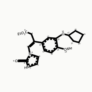 CCOC(=O)C/C(=C/n1cc[nH]c1=O)c1ccc(OC)c(OC2CCCC2)c1